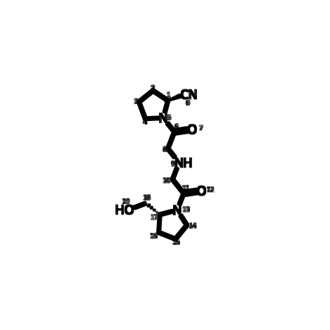 N#C[C@@H]1CCCN1C(=O)CNCC(=O)N1CCC[C@@H]1CO